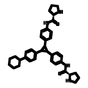 O=C(Nc1ccc(C2C(c3ccc(NC(=O)[C@@H]4CCCN4)cc3)C2c2ccc(C3CCCCC3)cc2)cc1)[C@@H]1CCCN1